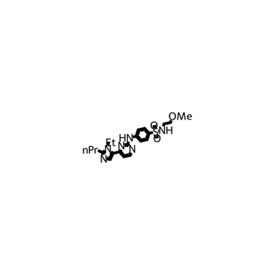 CCCc1ncc(-c2ccnc(Nc3ccc(S(=O)(=O)NCCOC)cc3)n2)n1CC